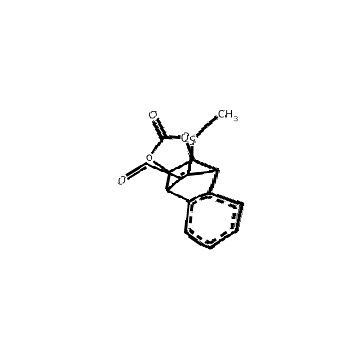 CSC1=C(C=O)C2c3ccccc3C1C1OC(=O)OC21